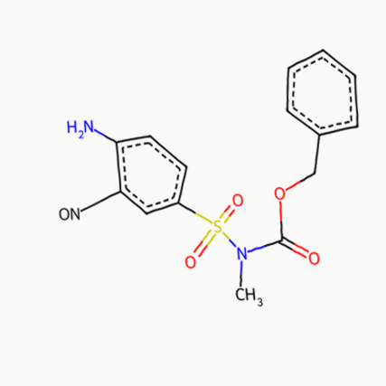 CN(C(=O)OCc1ccccc1)S(=O)(=O)c1ccc(N)c(N=O)c1